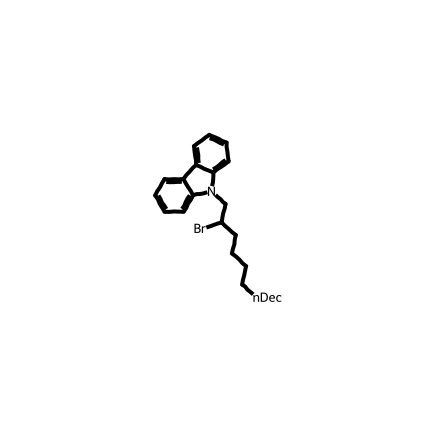 CCCCCCCCCCCCCCC(Br)Cn1c2ccccc2c2ccccc21